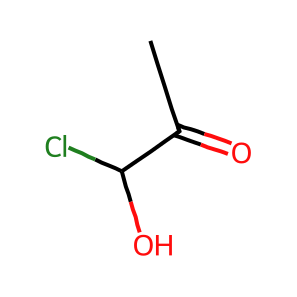 CC(=O)C(O)Cl